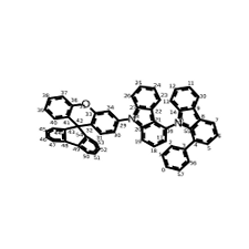 c1ccc(-c2cccc3c4ccccc4n(-c4cccc5c4c4ccccc4n5-c4ccc5c(c4)Oc4ccccc4C54c5ccccc5-c5ccccc54)c23)cc1